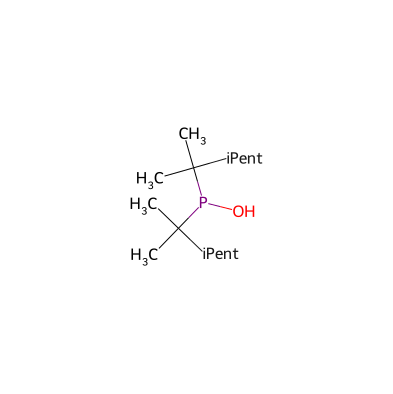 CCCC(C)C(C)(C)P(O)C(C)(C)C(C)CCC